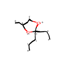 CCCC1(CC)OCC(C)O1